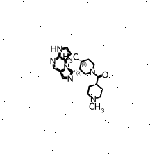 C[C@@H]1CCN(C(=O)C2CCN(C)CC2)C[C@@H]1c1ncc2cnc3[nH]ccc3n12